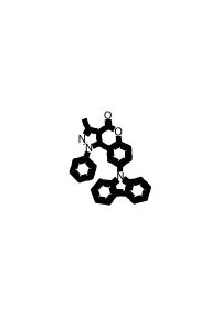 CC1=NN(c2ccccc2)C2c3cc(-n4c5ccccc5c5ccccc54)ccc3OC(=O)C12